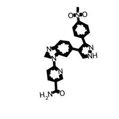 CS(=O)(=O)c1ccc(-c2n[nH]cc2-c2ccc3ncn(-c4ccc(C(N)=O)cn4)c3c2)cc1